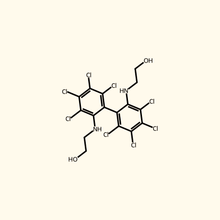 OCCNc1c(Cl)c(Cl)c(Cl)c(Cl)c1-c1c(Cl)c(Cl)c(Cl)c(Cl)c1NCCO